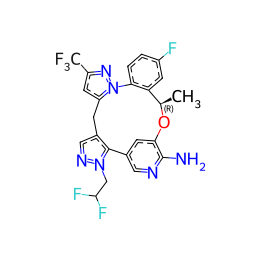 C[C@H]1Oc2cc(cnc2N)-c2c(cnn2CC(F)F)Cc2cc(C(F)(F)F)nn2-c2ccc(F)cc21